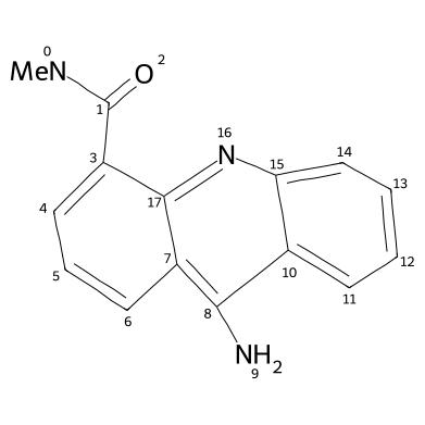 CNC(=O)c1cccc2c(N)c3ccccc3nc12